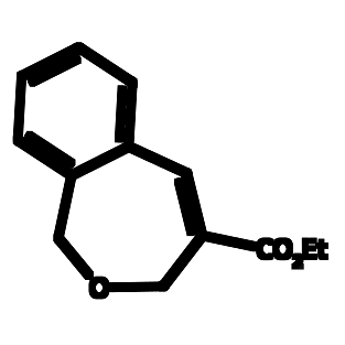 CCOC(=O)C1=Cc2ccccc2COC1